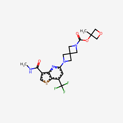 CNC(=O)c1csc2c(C(F)(F)F)cc(N3CC4(CN(C(=O)OC5(C)COC5)C4)C3)nc12